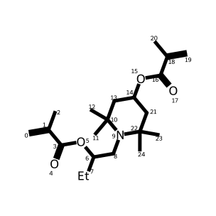 C=C(C)C(=O)OC(CC)CN1C(C)(C)CC(OC(=O)C(=C)C)CC1(C)C